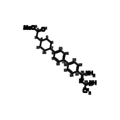 COC(=O)CC1CCC(c2ccc(-c3ccc(/C(N)=N/C(=N)C(F)(F)F)cc3)cc2)CC1